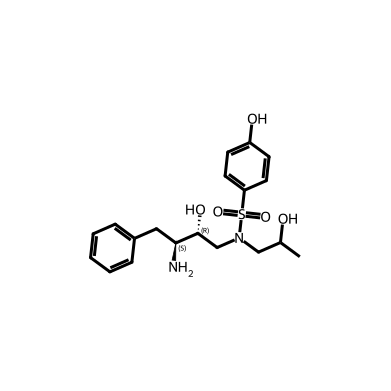 CC(O)CN(C[C@@H](O)[C@@H](N)Cc1ccccc1)S(=O)(=O)c1ccc(O)cc1